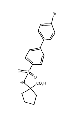 O=C(O)C1(NS(=O)(=O)c2ccc(-c3ccc(Br)cc3)cc2)CCCC1